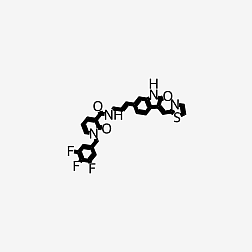 O=C1Nc2cc(/C=C/CNC(=O)c3cccn(Cc4cc(F)c(F)c(F)c4)c3=O)ccc2/C1=C/c1nccs1